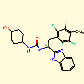 COc1c(F)c(F)c(C[C@@H](NC(=O)NC2CCC(O)CC2)c2nc3ccccc3[nH]2)c(F)c1F